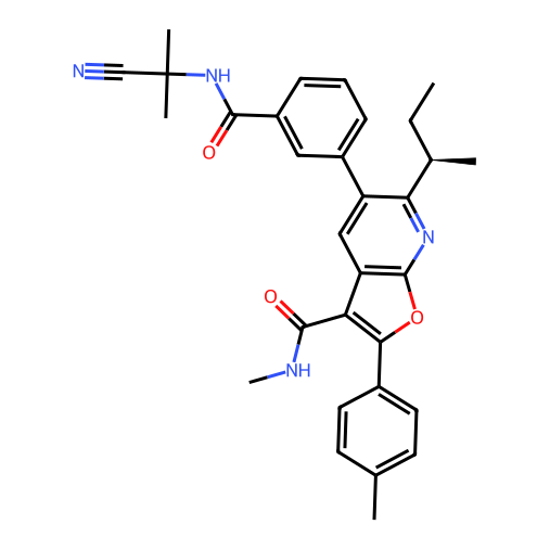 CC[C@@H](C)c1nc2oc(-c3ccc(C)cc3)c(C(=O)NC)c2cc1-c1cccc(C(=O)NC(C)(C)C#N)c1